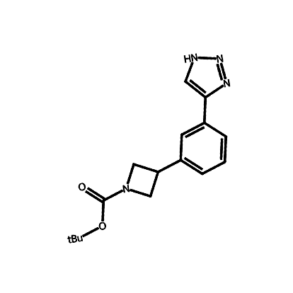 CC(C)(C)OC(=O)N1CC(c2cccc(-c3c[nH]nn3)c2)C1